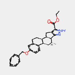 CCOC(=O)c1[nH]nc2c1CC1C3CCc4cc(OCc5ccccc5)ccc4C3C[C@@H](C)C21